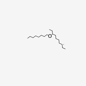 CC[CH]CCCCC(CC)OCCCCCCCC